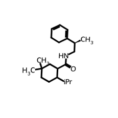 CC(C)C1CCC(C)(C)CC1C(=O)NC[C@H](C)C1=CC=CCC1